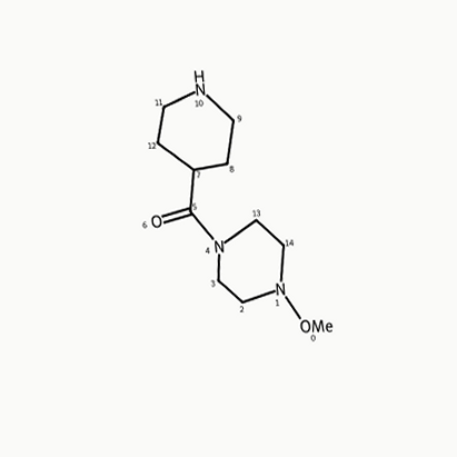 CON1CCN(C(=O)C2CCNCC2)CC1